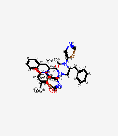 COC(=O)N(c1cncs1)[C@@H](Cc1ccccc1)CN(Cc1cc(C(C)(C)C)cc(C(C)(C)C)c1O)C[C@H](Cc1ccccc1)N(C(=O)OC)c1cncs1